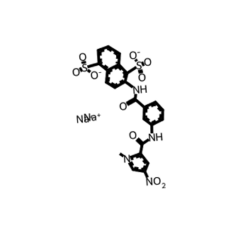 Cn1cc([N+](=O)[O-])cc1C(=O)Nc1cccc(C(=O)Nc2ccc3c(S(=O)(=O)[O-])cccc3c2S(=O)(=O)[O-])c1.[Na+].[Na+]